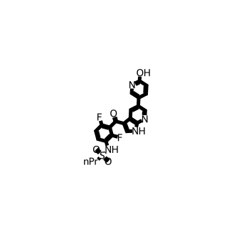 CCCS(=O)(=O)Nc1ccc(F)c(C(=O)c2c[nH]c3ncc(-c4ccc(O)nc4)cc23)c1F